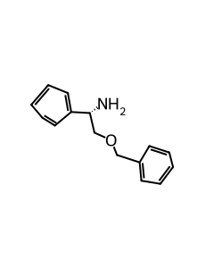 N[C@H](COCc1ccccc1)c1ccccc1